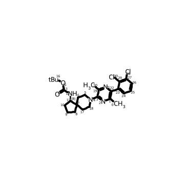 Cc1nc(N2CCC3(CCC[C@H]3NC(=O)OC(C)(C)C)CC2)c(C)nc1-c1cccc(Cl)c1Cl